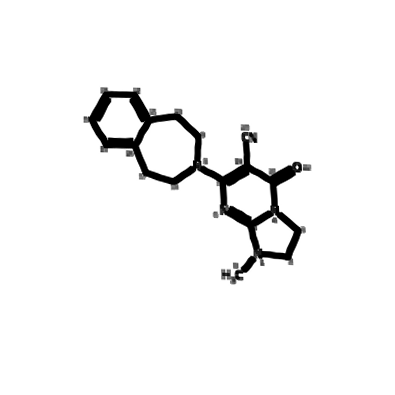 CN1CCn2c1nc(N1CCc3ccccc3CC1)c(C#N)c2=O